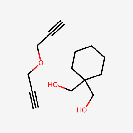 C#CCOCC#C.OCC1(CO)CCCCC1